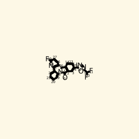 O=C1c2cc(C3NN=C(C(F)F)O3)ccc2CN1c1ccccc1-c1cccc(F)n1